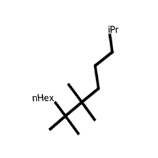 [CH2]C(C)CCCC(C)(C)C(C)(C)CCCCCC